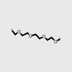 ICOCCOCCOCCOI